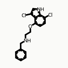 Clc1ccc(OCCNCc2ccccc2)c2c(Cl)c[nH]c12